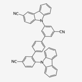 N#Cc1cc(-c2ccc(-c3cc(C#N)ccc3-n3c4ccccc4c4ccccc43)cc2)cc(-n2c3ccccc3c3cc(C#N)ccc32)c1